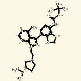 CN(C)[C@H]1CCN(CCn2nc(-c3ccc(NC(=O)OC(C)(C)C)c4c3OCO4)c3c(N)ncnc32)C1